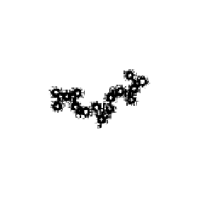 Cc1cc(C)c(B(c2cccc(-c3ccc4oc5ccc(-n6c7ccccc7c7cc8c9ccccc9n(-c9ccccc9)c8cc76)cc5c4c3)n2)c2cccc(-c3ccc4oc5ccc(-n6c7ccccc7c7cc8c9ccccc9n(-c9ccccc9)c8cc76)cc5c4c3)n2)c(C)c1